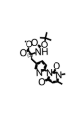 COC(=O)[C@H](Cc1ccc(-n2c(=O)cc(C)n(C)c2=O)nc1)NC(=O)OC(C)(C)C